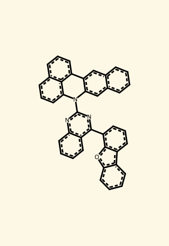 c1ccc2cc3c(cc2c1)-c1cccc2cccc(c12)N3c1nc(-c2cccc3c2oc2ccccc23)c2ccccc2n1